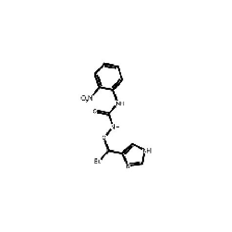 CCC(ONC(=O)Nc1ccccc1[N+](=O)[O-])c1c[nH]cn1